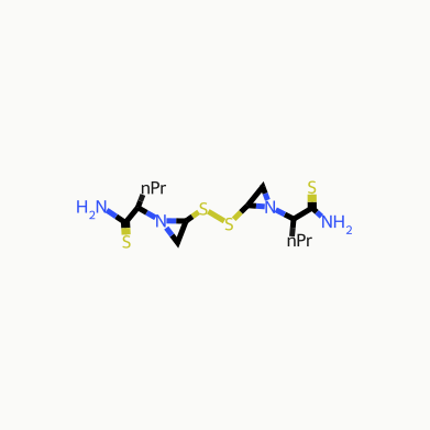 CCCC(C(N)=S)N1CC1SSC1CN1C(CCC)C(N)=S